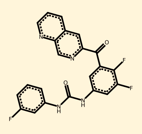 O=C(Nc1cccc(F)c1)Nc1cc(F)c(F)c(C(=O)c2cc3cccnc3cn2)c1